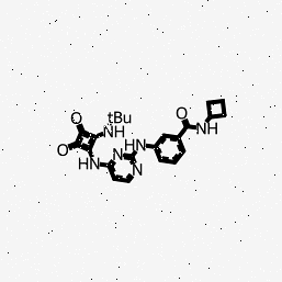 CC(C)(C)Nc1c(Nc2ccnc(Nc3cccc(C(=O)NC4CCC4)c3)n2)c(=O)c1=O